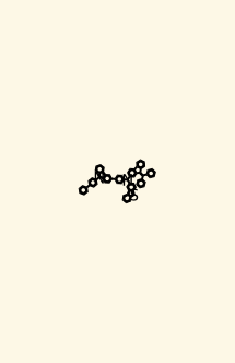 c1ccc(C(=C2c3ccccc3-c3ccc(N(c4ccc(-c5ccc6c(c5)c5ccccc5n6-c5ccc(-c6ccccc6)cc5)cc4)c4ccc5sc6ccccc6c5c4)cc32)c2ccccc2)cc1